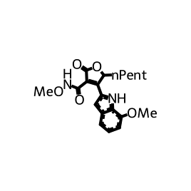 CCCCCC1OC(=O)C(C(=O)NOC)=C1c1cc2cccc(OC)c2[nH]1